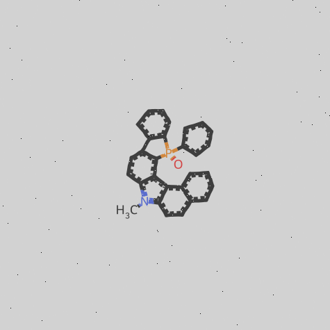 Cn1c2ccc3c(c2c2c4ccccc4ccc21)P(=O)(c1ccccc1)c1ccccc1-3